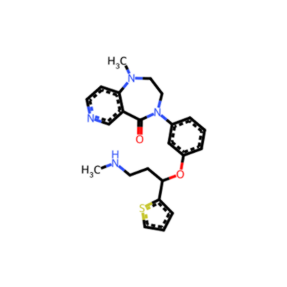 CNCCC(Oc1cccc(N2CCN(C)c3ccncc3C2=O)c1)c1cccs1